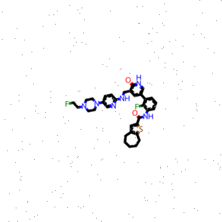 O=C(Nc1cccc(-c2c[nH]c(=O)c(CNc3ccc(N4CCN(CCF)CC4)cn3)c2)c1F)c1cc2c(s1)CCCCC2